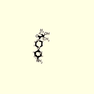 CC(C)(O)C(=O)N1CCN(c2ccc(N)cn2)CC1